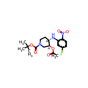 CC(=O)O[C@H]1CN(C(=O)OC(C)(C)C)CC[C@@H]1Nc1cc(F)ccc1[N+](=O)[O-]